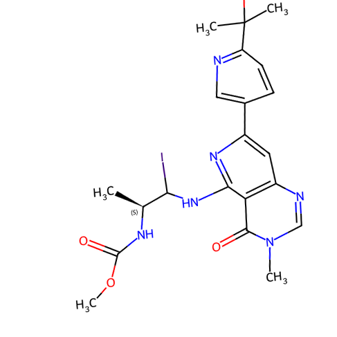 COC(=O)N[C@@H](C)C(I)Nc1nc(-c2ccc(C(C)(C)O)nc2)cc2ncn(C)c(=O)c12